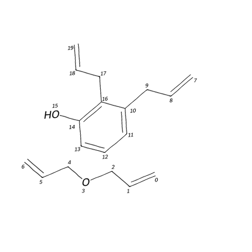 C=CCOCC=C.C=CCc1cccc(O)c1CC=C